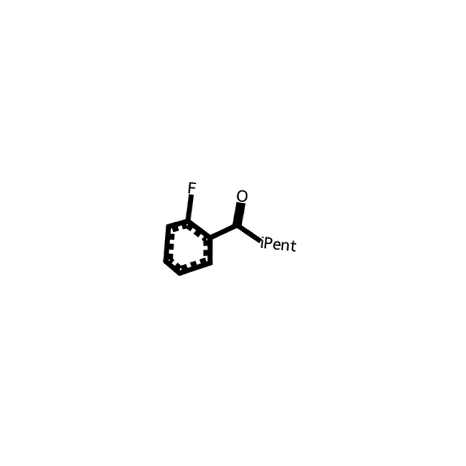 CCCC(C)C(=O)c1ccccc1F